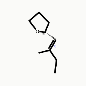 CC/C(C)=C/[C@H]1CCCO1